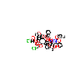 CC(=O)O[C@@]12CO[C@@H]1C[C@H](OC(=O)CCl)[C@@]1(C)C(=O)[C@H](OC(=O)CCl)C3=C(C)[C@@H](OC(=O)[C@H](O)[C@@H](NC(=O)OC(C)(C)C)c4ccccc4)C[C@@](O)([C@@H](OC(=O)c4ccccc4)[C@H]21)C3(C)C